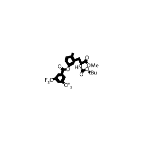 COC(=O)C(Cc1cc(OC(=O)c2cc(C(F)(F)F)cc(C(F)(F)F)c2)ccc1C)NC(=O)OC(C)(C)C